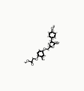 COC(=O)COc1ccc(OCc2nc(-c3ccc(OC)cc3)c(Br)o2)cc1C